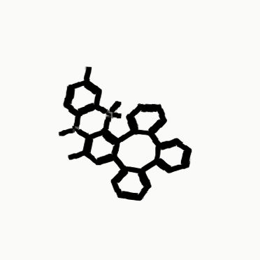 Cc1ccc2c(c1)[Si](C)(C)c1c3c(cc(C)c1N2C)-c1ccccc1-c1ccccc1-c1ccccc1-3